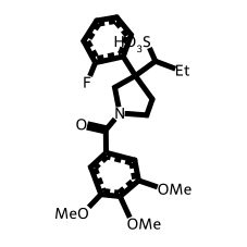 CCC(C1(c2ccccc2F)CCN(C(=O)c2cc(OC)c(OC)c(OC)c2)C1)S(=O)(=O)O